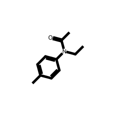 CCN(C(C)=O)c1ccc(C)cc1